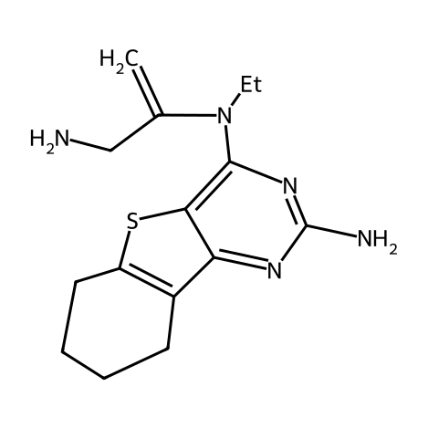 C=C(CN)N(CC)c1nc(N)nc2c3c(sc12)CCCC3